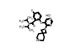 CC(C)N(C(=O)c1cc(F)ccc1Oc1cncnc1N1CC2(CCNCC2)C1)C(C)C.Cl